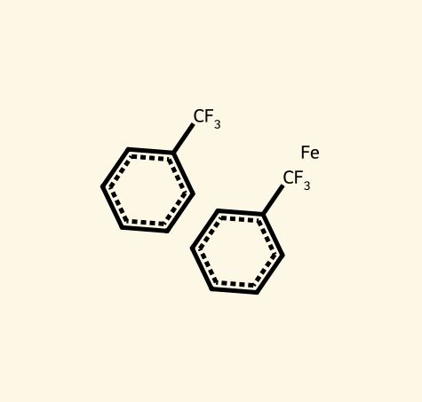 FC(F)(F)c1ccccc1.FC(F)(F)c1ccccc1.[Fe]